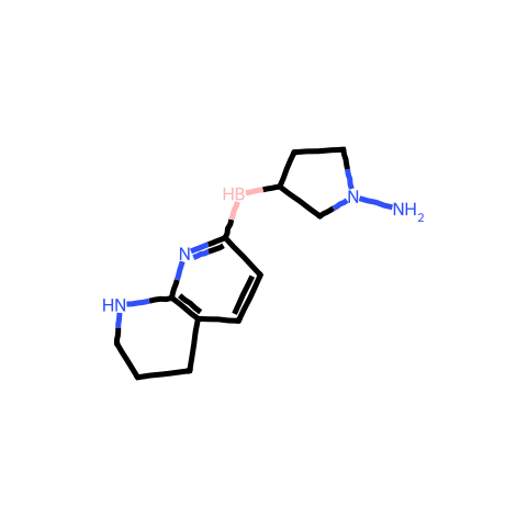 NN1CCC(Bc2ccc3c(n2)NCCC3)C1